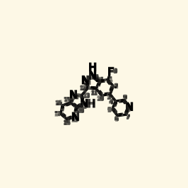 Fc1cc(-c2cccnc2)cc2c(-c3nc4cccnc4[nH]3)n[nH]c12